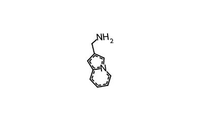 NCc1cc2ccccn2c1